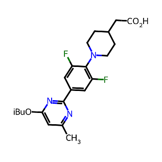 Cc1cc(OCC(C)C)nc(-c2cc(F)c(N3CCC(CC(=O)O)CC3)c(F)c2)n1